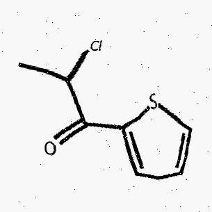 CC(Cl)C(=O)c1cccs1